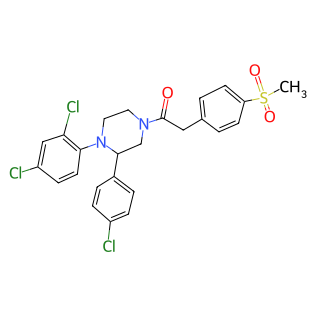 CS(=O)(=O)c1ccc(CC(=O)N2CCN(c3ccc(Cl)cc3Cl)C(c3ccc(Cl)cc3)C2)cc1